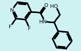 O=C(NC(CO)c1ccccc1)c1ccnc(F)c1F